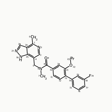 Cc1ncc(CN(C)C(=O)c2ccc(-c3cccc(F)c3)c(OC(C)C)c2)c2[nH]ncc12